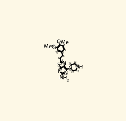 COc1ccc(CCc2nc3c(N4CCNCC4)nc(N)nc3s2)cc1OC